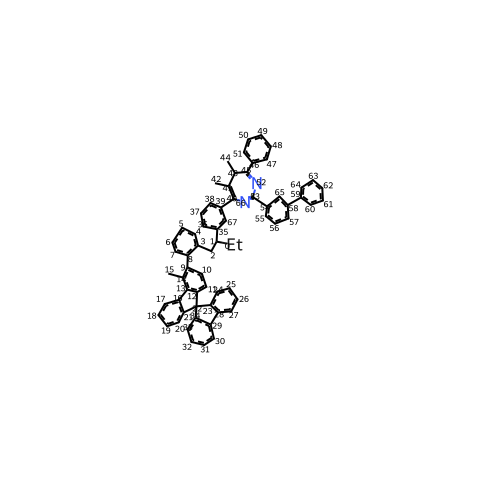 CCC(Cc1ccccc1-c1ccc2c(c1C)-c1ccccc1C21c2ccccc2-c2ccccc21)c1cccc(C2=C(C)C(C)C(c3ccccc3)=NC(c3cccc(-c4ccccc4)c3)=N2)c1